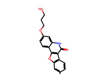 O=c1[nH]c2cc(OCCCO)ccc2c2oc3cc(O)ccc3c12